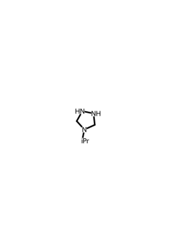 CC(C)N1CNNC1